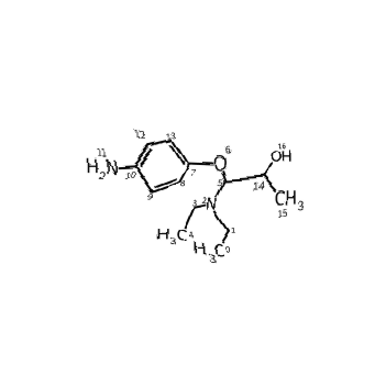 CCN(CC)C(Oc1ccc(N)cc1)C(C)O